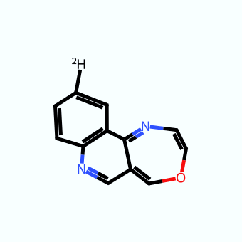 [2H]c1ccc2ncc3c(c2c1)=NC=COC=3